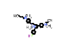 CN(CCC#N)c1ccc(-c2cc(/C=C/c3ccc(N(C)CCCCC#N)cc3)[n+](C)c(-c3ccc(F)cc3)c2)cc1.[I-]